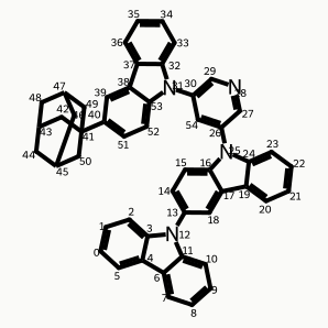 c1ccc2c(c1)c1ccccc1n2-c1ccc2c(c1)c1ccccc1n2-c1cncc(-n2c3ccccc3c3cc(C45CC6CC(CC(C6)C4)C5)ccc32)c1